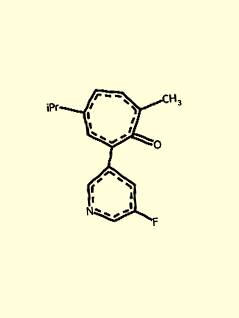 Cc1ccc(C(C)C)cc(-c2cncc(F)c2)c1=O